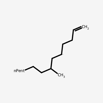 [CH2]CCCCCCC(C)C[CH]CCC=C